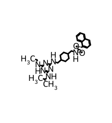 CCNc1nc(NCC2CCC(CNS(=O)(=O)c3cccc4ccccc34)CC2)nc(NC(C)C)n1